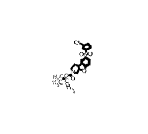 CC(C)(C)OC(=O)N1CCC2c3cc(S(=O)(=O)c4cccc(Cl)c4)ccc3OC2C1